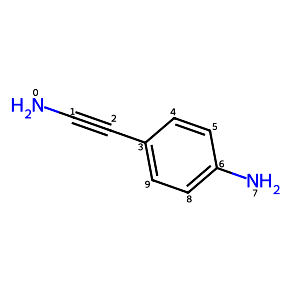 NC#Cc1ccc(N)cc1